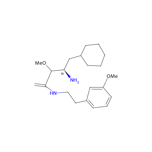 C=C(NCCc1cccc(OC)c1)C(OC)[C@H](N)CC1CCCCC1